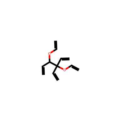 C=COC(C=C)C(C=C)(C=C)OC=C